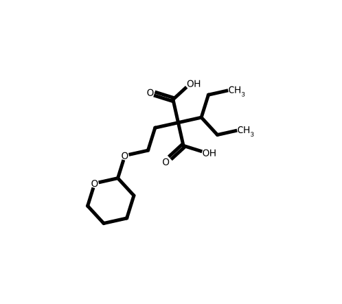 CCC(CC)C(CCOC1CCCCO1)(C(=O)O)C(=O)O